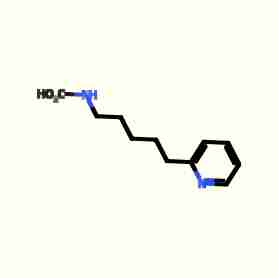 O=C(O)NCCCCCc1ccccn1